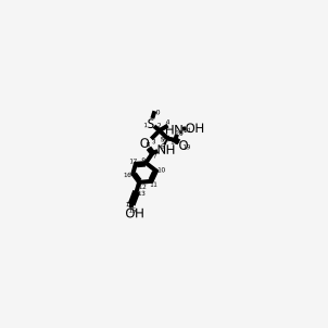 CSC(C)(C)[C@H](NC(=O)c1ccc(C#CO)cc1)C(=O)NO